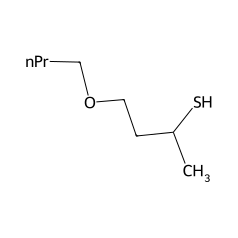 CCCCOCCC(C)S